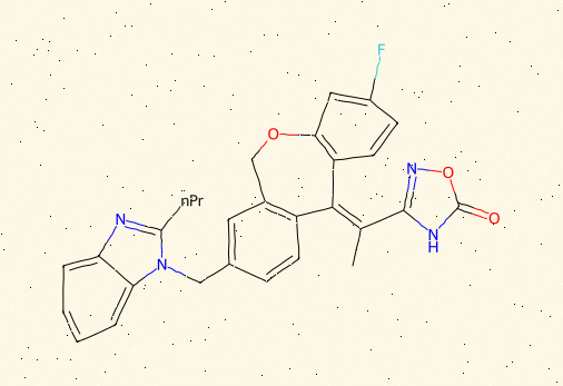 CCCc1nc2ccccc2n1Cc1ccc2c(c1)COc1cc(F)ccc1C2=C(C)c1noc(=O)[nH]1